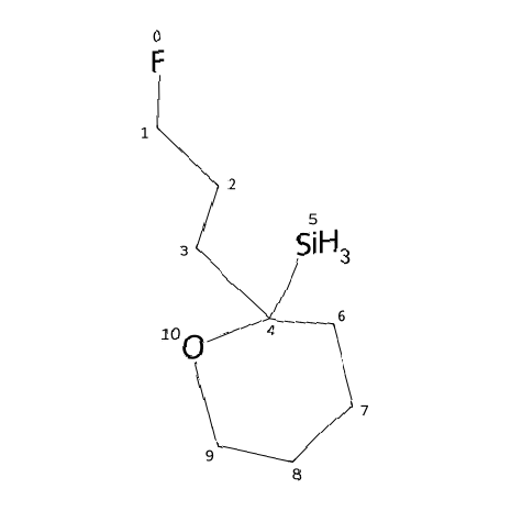 FCCCC1([SiH3])CCCCO1